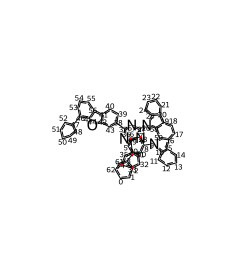 c1ccc(-c2cccc(-n3c4ccccc4c4ccc5c6ccccc6n(-c6nc(-c7ccccc7)nc(-c7ccc8c(c7)oc7c(-c9ccccc9)cccc78)n6)c5c43)c2)cc1